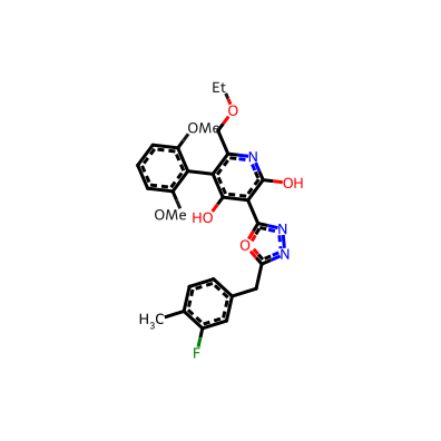 CCOCc1nc(O)c(-c2nnc(Cc3ccc(C)c(F)c3)o2)c(O)c1-c1c(OC)cccc1OC